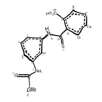 COC(=O)Nc1cccc(NC(=O)c2ccccc2C(=O)O)c1